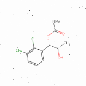 CNC(=O)O[C@@H](c1cccc(Cl)c1Cl)[C@H](C)O